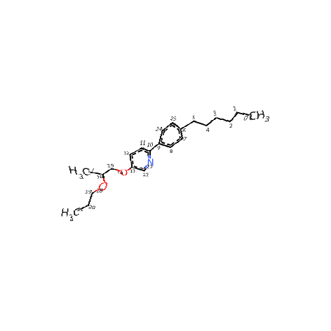 CCCCCCc1ccc(-c2ccc(OCC(C)OCCC)cn2)cc1